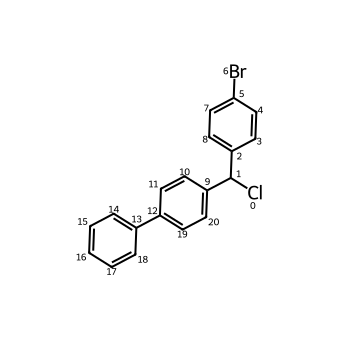 ClC(c1ccc(Br)cc1)c1ccc(-c2ccccc2)cc1